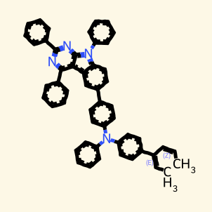 C/C=C\C(=C/C)c1ccc(N(c2ccccc2)c2ccc(-c3ccc4c(c3)c3c(-c5ccccc5)nc(-c5ccccc5)nc3n4-c3ccccc3)cc2)cc1